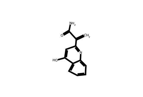 C=C(C(N)=O)c1cc(O)c2ccccc2n1